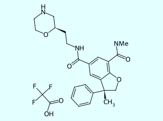 CNC(=O)c1cc(C(=O)NCC[C@@H]2CNCCO2)cc2c1OC[C@]2(C)c1ccccc1.O=C(O)C(F)(F)F